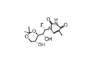 Cc1cn([C@@H](F)[C@H](O)[C@@H]2OC(C)(C)OC[C@H]2O)c(=O)[nH]c1=O